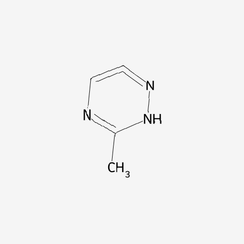 CC1=NC=C=NN1